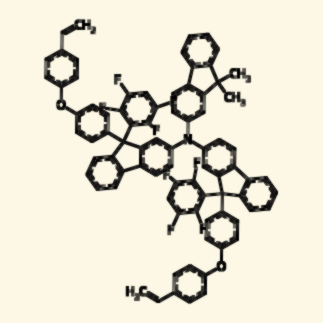 C=Cc1ccc(Oc2ccc(C3(c4c(F)c(F)cc(F)c4F)c4ccccc4-c4ccc(N(c5ccc6c(c5)C(C)(C)c5ccccc5-6)c5ccc6c(c5)C(c5ccc(Oc7ccc(C=C)cc7)cc5)(c5c(F)c(F)cc(F)c5F)c5ccccc5-6)cc43)cc2)cc1